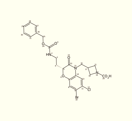 O=C(NCC[C@H]1Oc2cc(Br)c(Cl)cc2N(CC2CN(C(=O)O)C2)C1=O)OCc1ccccc1